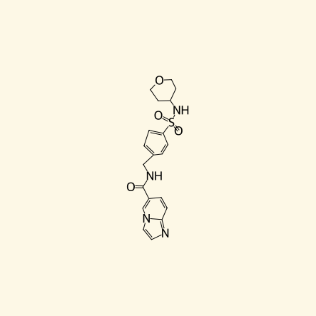 O=C(NCc1ccc(S(=O)(=O)NC2CCOCC2)cc1)c1ccc2nccn2c1